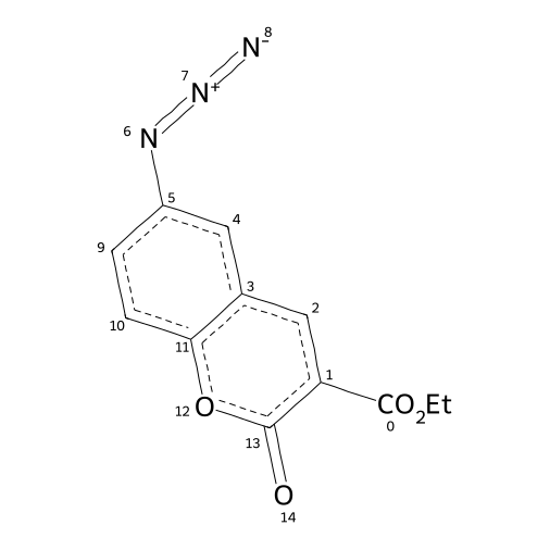 CCOC(=O)c1cc2cc(N=[N+]=[N-])ccc2oc1=O